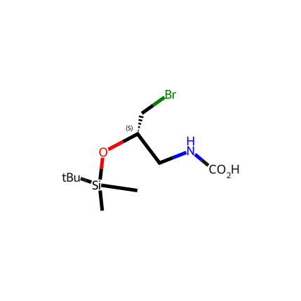 CC(C)(C)[Si](C)(C)O[C@H](CBr)CNC(=O)O